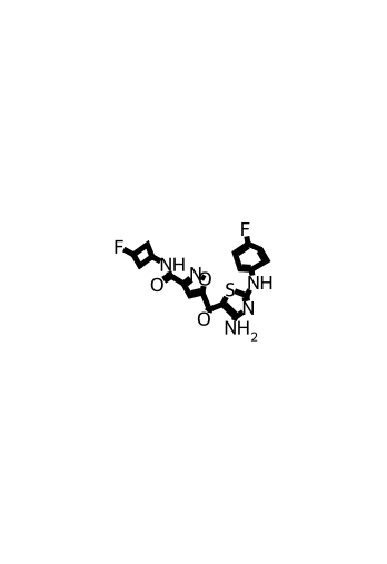 Nc1nc(Nc2ccc(F)cc2)sc1C(=O)c1cc(C(=O)NC2CC(F)C2)no1